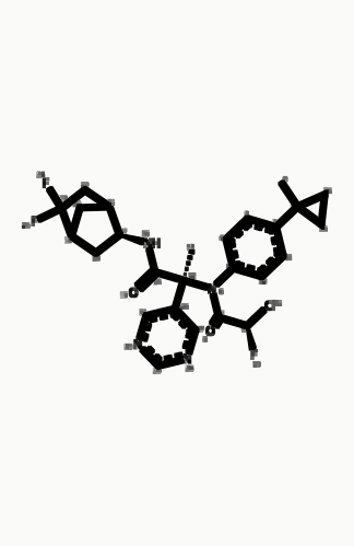 CC1(c2ccc(N(C(=O)[C@H](F)Cl)[C@](C)(C(=O)N[C@H]3CC4CC3CC4(F)F)c3cncnc3)cc2)CC1